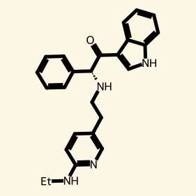 CCNc1ccc(CCN[C@@H](C(=O)c2c[nH]c3ccccc23)c2ccccc2)cn1